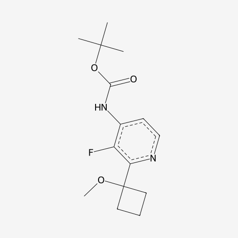 COC1(c2nccc(NC(=O)OC(C)(C)C)c2F)CCC1